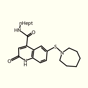 CCCCCCCNC(=O)c1cc(=O)[nH]c2ccc(SN3CCCCCC3)cc12